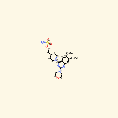 COc1cc2nc(N3CCOCC3)nc(N3CCC(CCOS(N)(=O)=O)CC3)c2cc1OC